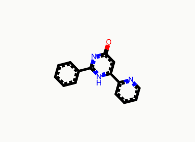 O=c1cc(-c2ccccn2)[nH]c(-c2ccccc2)n1